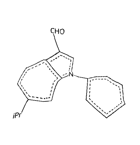 CC(C)c1ccc2c(C=O)cn(-c3ccccc3)c2c1